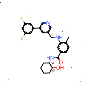 Cc1ccc(C(=O)N[C@H]2CCCC[C@@H]2O)cc1NCc1cncc(-c2cc(F)cc(F)c2)c1